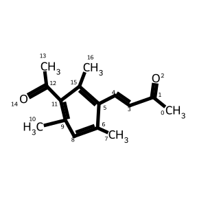 CC(=O)C=Cc1c(C)cc(C)c(C(C)=O)c1C